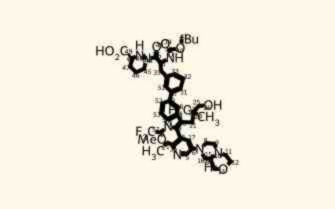 COC(C)c1ncc(N2CCN3CCOC[C@@H]3C2)cc1-c1c(CC(C)(C)CO)c2cc(-c3cccc(CC(NC(=O)OC(C)(C)C)C(=O)N4CCC[C@@H](C(=O)O)N4)c3)ccc2n1CC(F)(F)F